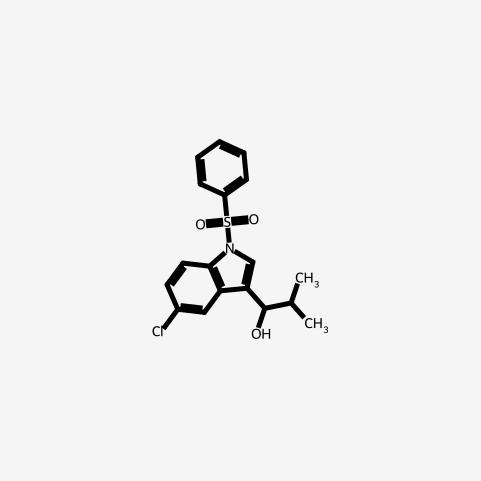 CC(C)C(O)c1cn(S(=O)(=O)c2ccccc2)c2ccc(Cl)cc12